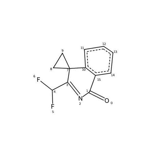 O=C1N=C(C(F)F)C2(CC2)c2ccccc21